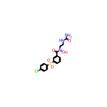 NC(=O)NCCN(O)C(=O)c1cccc(S(=O)(=O)c2ccc(Cl)cc2)c1